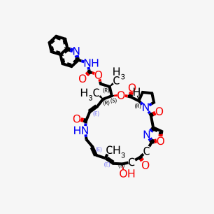 CC1=C\[C@@H](O)CC(=O)Cc2nc(co2)C(=O)N2CCC[C@@H]2C(=O)O[C@H]([C@H](C)COC(=O)Nc2ccc3ccccc3n2)[C@H](C)/C=C/C(=O)NC\C=C\1